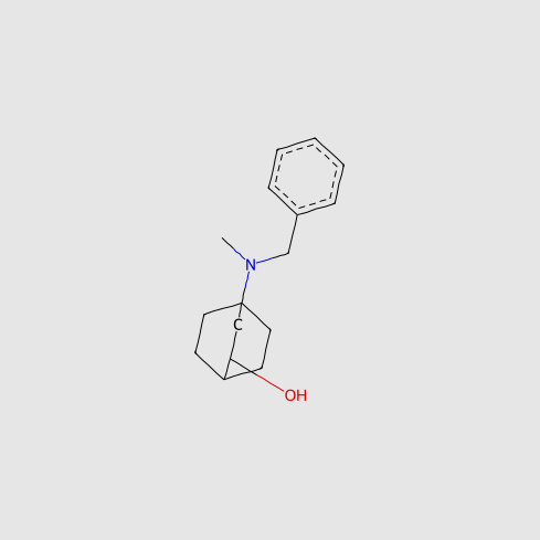 CN(Cc1ccccc1)C12CCC(CC1)C(O)C2